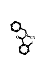 N#CN(Cc1ccccc1)C(=O)c1ccccc1I